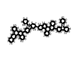 c1ccc(-n2c3ccc(-c4ccc5c(ccc6c5c5ccccc5c5cc(-c7ccc8c9ccccc9n(-c9ccccc9)c8c7)c7ccccc7c56)c4)cc3c3ccc(-c4cc5c6ccccc6c6cc7ccccc7cc6c5c5ccccc45)cc32)cc1